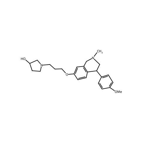 COc1ccc(C2CN(C)Cc3cc(OCCCN4CCC(O)C4)ccc32)cc1